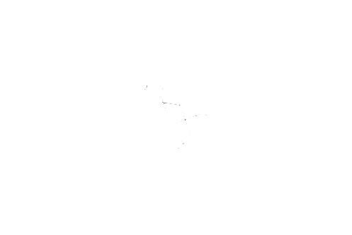 CCC(C)C(C)(CC(=O)OC)CC(C)(C)C